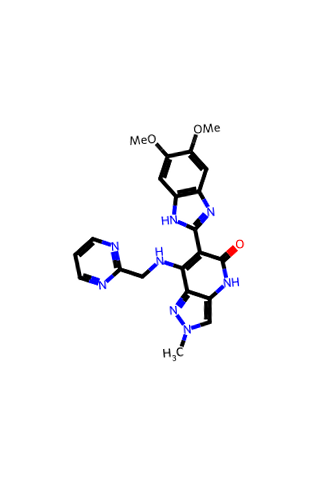 COc1cc2nc(-c3c(NCc4ncccn4)c4nn(C)cc4[nH]c3=O)[nH]c2cc1OC